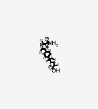 CCC(C)(CCC(C)C(=O)O)c1ccc(-c2nc(C(N)=O)c(C)nc2C)cc1